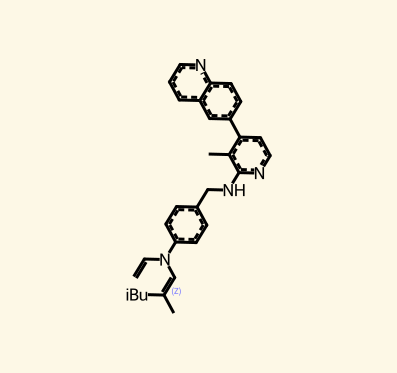 C=CN(/C=C(/C)C(C)CC)c1ccc(CNc2nccc(-c3ccc4ncccc4c3)c2C)cc1